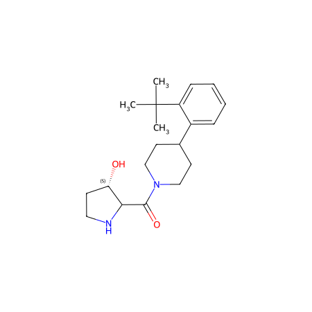 CC(C)(C)c1ccccc1C1CCN(C(=O)C2NCC[C@@H]2O)CC1